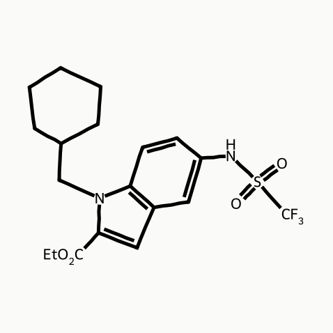 CCOC(=O)c1cc2cc(NS(=O)(=O)C(F)(F)F)ccc2n1CC1CCCCC1